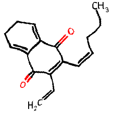 C=CC1=C(/C=C\CCC)C(=O)C2=CCCC=C2C1=O